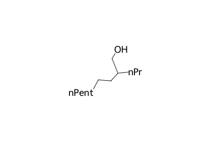 CCCCCCCC(CO)CCC